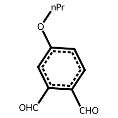 CCCOc1ccc(C=O)c(C=O)c1